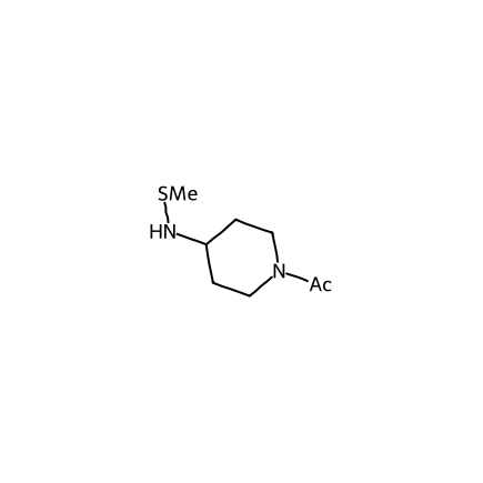 CSNC1CCN(C(C)=O)CC1